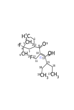 CCC(CC(C)(C)F)C(=O)/C(CF)=C(\O)C(CC)CC